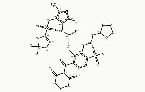 CS(=O)(=O)c1ccc(C(=O)C2C(=O)CCCC2=O)c(Cl)c1COCC1CCCO1.Cn1nc(C(F)(F)F)c(CS(=O)(=O)C2=NOC(C)(C)C2)c1OC(F)F